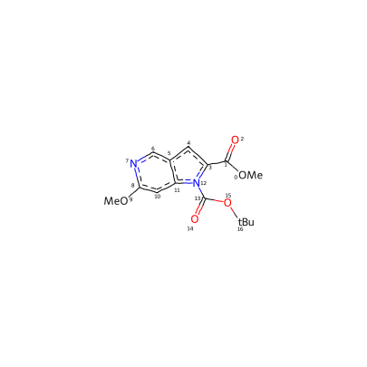 COC(=O)c1cc2cnc(OC)cc2n1C(=O)OC(C)(C)C